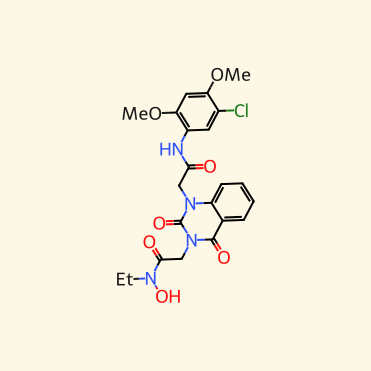 CCN(O)C(=O)Cn1c(=O)c2ccccc2n(CC(=O)Nc2cc(Cl)c(OC)cc2OC)c1=O